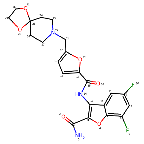 NC(=O)c1oc2c(F)cc(F)cc2c1NC(=O)c1ccc(CN2CCC3(CC2)OCCO3)o1